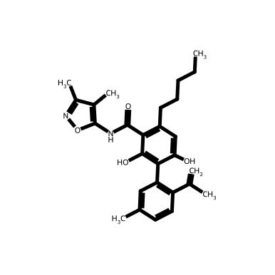 C=C(C)c1ccc(C)cc1-c1c(O)cc(CCCCC)c(C(=O)Nc2onc(C)c2C)c1O